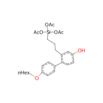 CCCCCCOc1ccc(-c2ccc(O)cc2CCC[Si](OC(C)=O)(OC(C)=O)OC(C)=O)cc1